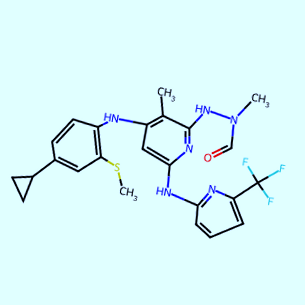 CSc1cc(C2CC2)ccc1Nc1cc(Nc2cccc(C(F)(F)F)n2)nc(NN(C)C=O)c1C